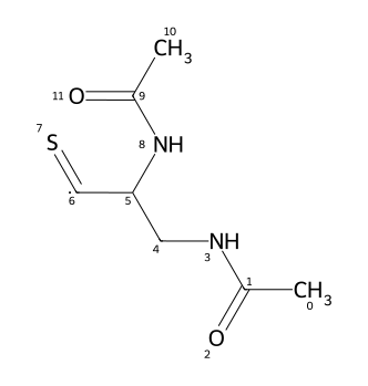 CC(=O)NCC([C]=S)NC(C)=O